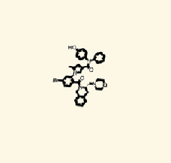 Cc1cc(C(=O)N(c2ccccc2)c2ccc(O)cc2)cn1-c1cc(Br)ccc1C(=O)N1Cc2ccccc2C[C@H]1CN1CCOCC1